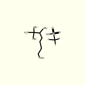 CCCCCCCCCCCCCCC(CCCC)C(P)(CCCC)CCCC.O=S(=O)(O)C(F)(F)F